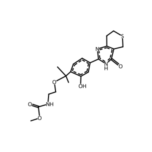 COC(=O)NCCOC(C)(C)c1ccc(-c2nc3c(c(=O)[nH]2)CSCC3)cc1O